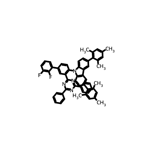 Cc1cc(C)c(-c2ccc3c(c2)c2cc(-c4c(C)cc(C)cc4C)ccc2n3-c2ccc(-c3cccc(F)c3F)cc2-c2nc(-c3ccccc3)nc(-c3ccccc3)n2)c(C)c1